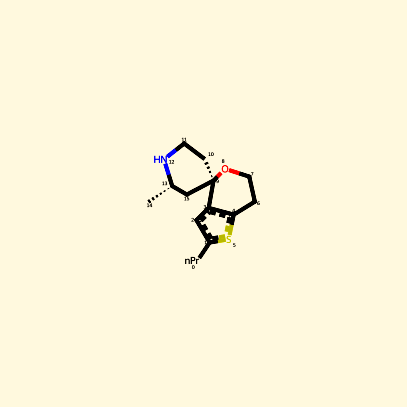 CCCc1cc2c(s1)CCO[C@@]21CCN[C@@H](C)C1